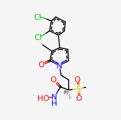 Cc1c(-c2cccc(Cl)c2Cl)ccn(CC[C@](C)(C(=O)NO)S(C)(=O)=O)c1=O